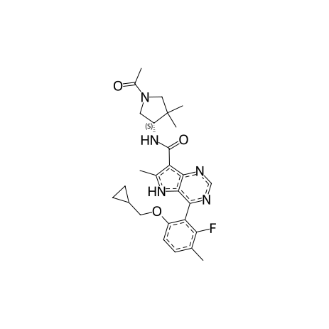 CC(=O)N1C[C@@H](NC(=O)c2c(C)[nH]c3c(-c4c(OCC5CC5)ccc(C)c4F)ncnc23)C(C)(C)C1